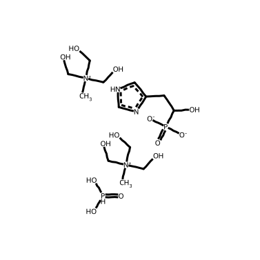 C[N+](CO)(CO)CO.C[N+](CO)(CO)CO.O=P([O-])([O-])C(O)Cc1c[nH]cn1.O=[PH](O)O